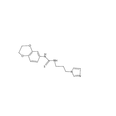 S=C(NCCCn1ccnc1)Nc1ccc2c(c1)OCCO2